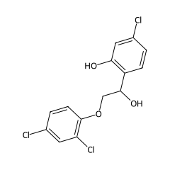 Oc1cc(Cl)ccc1C(O)COc1ccc(Cl)cc1Cl